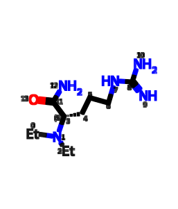 CCN(CC)[C@@H](CCCNC(=N)N)C(N)=O